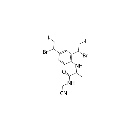 CC(Nc1ccc(C(Br)CI)cc1C(Br)CI)C(=O)NCC#N